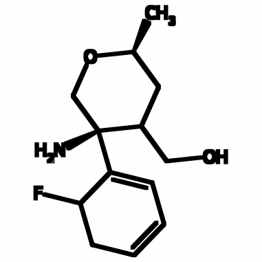 C[C@H]1CC(CO)[C@](N)(C2=CC=CCC2F)CO1